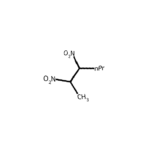 CCCC(C(C)[N+](=O)[O-])[N+](=O)[O-]